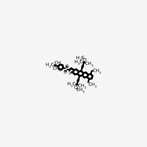 CCc1ccc(CC)c2cc3c(C#CC(C)(C)OC)c4cc5sc(S(=O)(=O)c6ccc(C(C)(C)C)cc6)cc5cc4c(C#CC(C)(C)OC)c3cc12